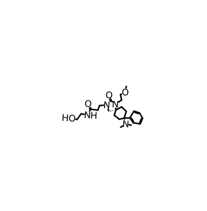 COCCN1C(=O)N(CCC(=O)NCCO)C[C@]12CC[C@@](c1ccccc1)(N(C)C)CC2